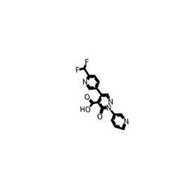 O=C(O)c1c(-c2ccc(C(F)F)nc2)cnn(-c2cccnc2)c1=O